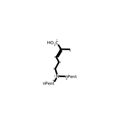 CCCCCN(CCC=C(C)C(=O)O)CCCCC